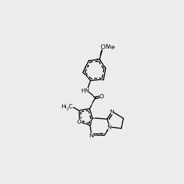 COc1ccc(NC(=O)c2c(C)oc3c2C2=NCCN2C=N3)cc1